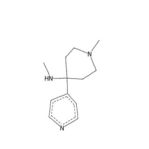 CNC1(c2ccncc2)CCN(C)CC1